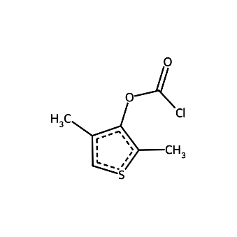 Cc1csc(C)c1OC(=O)Cl